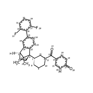 CC1(C)[C@H]2CC[C@]1([C@H]1CCCN(C(=O)c3c[nH]c(=O)cn3)C1)c1nnc(-c3c(F)cccc3F)cc12